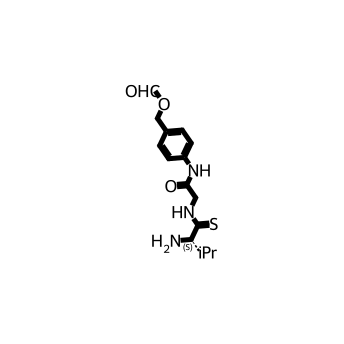 CC(C)[C@H](N)C(=S)NCC(=O)Nc1ccc(COC=O)cc1